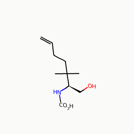 C=CCCC(C)(C)[C@@H](CO)NC(=O)O